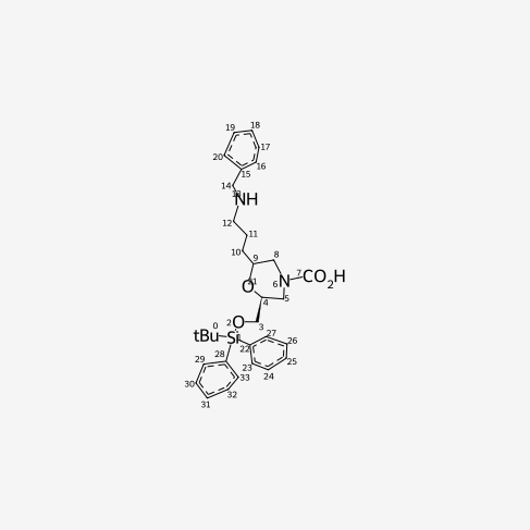 CC(C)(C)[Si](OC[C@@H]1CN(C(=O)O)CC(CCCNCc2ccccc2)O1)(c1ccccc1)c1ccccc1